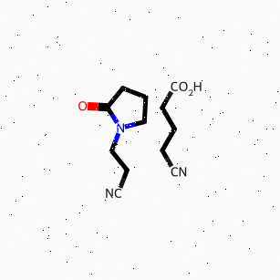 N#CCCCC(=O)O.N#CCCN1CCCC1=O